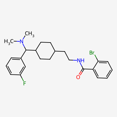 CN(C)C(c1cccc(F)c1)C1CCC(CCNC(=O)c2ccccc2Br)CC1